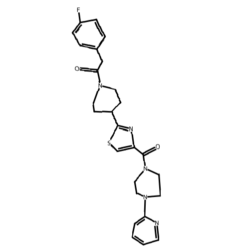 O=C(Cc1ccc(F)cc1)N1CCC(c2nc(C(=O)N3CCN(c4ccccn4)CC3)cs2)CC1